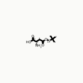 CC(C)(C)SOC(=O)C[C@H](N)C(=O)O